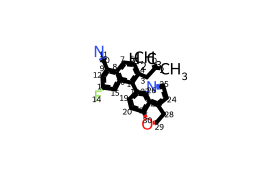 C=C(C)Cc1c(C)cc2c(C#N)cc(F)cc2c1-c1ccc2c3c(ccnc13)CCO2